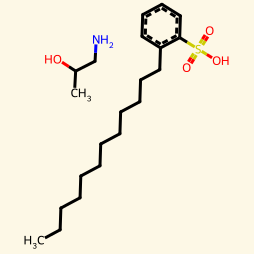 CC(O)CN.CCCCCCCCCCCCc1ccccc1S(=O)(=O)O